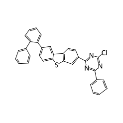 Clc1nc(-c2ccccc2)nc(-c2ccc3c(c2)sc2ccc(-c4ccccc4-c4ccccc4)cc23)n1